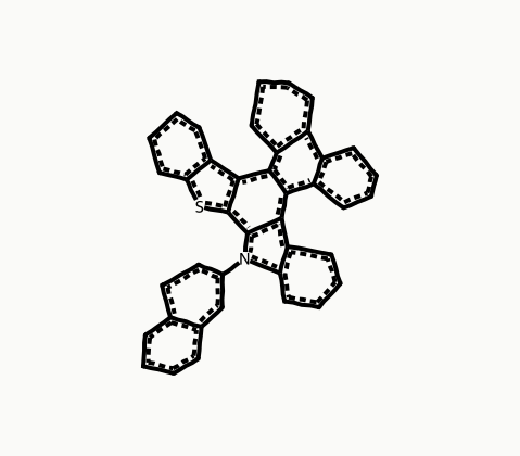 c1ccc2cc(-n3c4ccccc4c4c5c6ccccc6c6ccccc6c5c5c6ccccc6sc5c43)ccc2c1